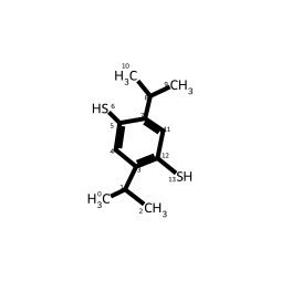 CC(C)c1cc(S)c(C(C)C)cc1S